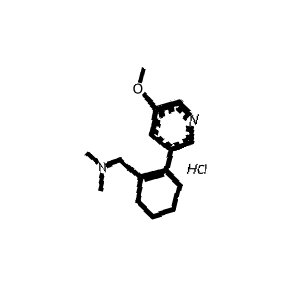 COc1cncc(C2=C(CN(C)C)CCCC2)c1.Cl